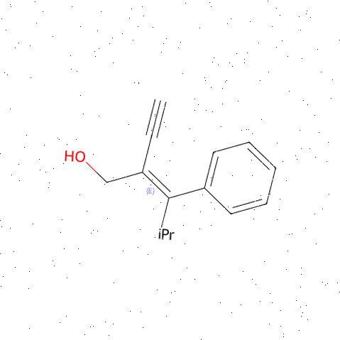 C#C/C(CO)=C(\c1ccccc1)C(C)C